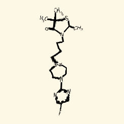 CC1SC(C)(C)C(=O)N1CCCCN1CCN(c2ncc(F)cn2)CC1